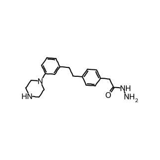 NNC(=O)Cc1ccc(CCc2cccc(N3CCNCC3)c2)cc1